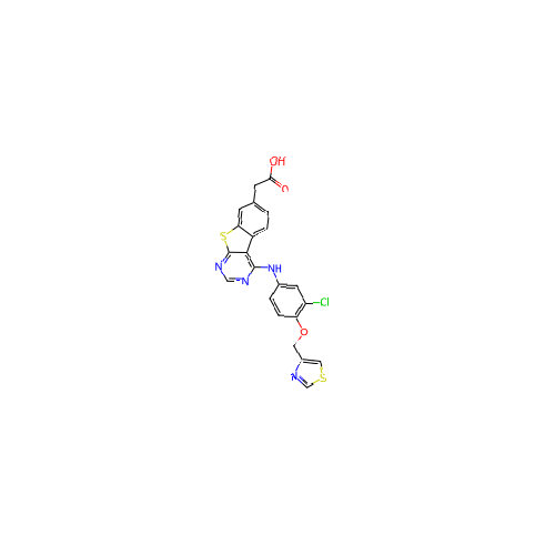 O=C(O)Cc1ccc2c(c1)sc1ncnc(Nc3ccc(OCc4cscn4)c(Cl)c3)c12